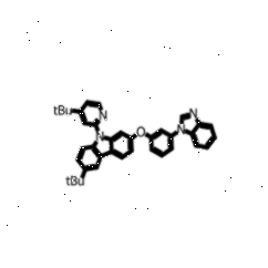 CC(C)(C)c1ccnc(-n2c3ccc(C(C)(C)C)cc3c3ccc(Oc4cccc(-n5cnc6ccccc65)c4)cc32)c1